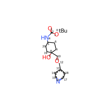 CC(C)(C)OC(=O)NC1CCC(O)(COCc2ccncc2)CC1